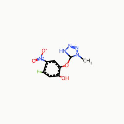 CN1N=NNC1Oc1cc([N+](=O)[O-])c(F)cc1O